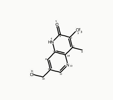 Cc1c(C(F)(F)F)c(=O)[nH]c2cc(CCl)cnc12